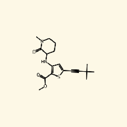 COC(=O)c1sc(C#CC(C)(C)C)cc1NC1CCCN(C)C1=O